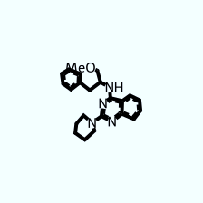 COCC(Cc1ccccc1)Nc1nc(N2CCCCC2)nc2ccccc12